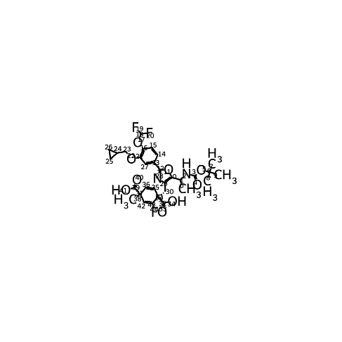 CC(NC(=O)OC(C)(C)C)c1oc(-c2ccc(OC(F)F)c(OCC3CC3)c2)nc1C[C@@]1(C(=O)O)C=CC(C)(C(=O)O)C=C1F